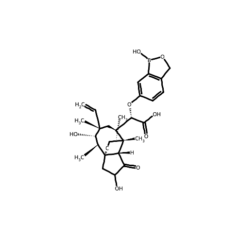 C=C[C@]1(C)C[C@@H]([C@H](Oc2ccc3c(c2)B(O)OC3)C(=O)O)[C@@]2(C)[C@H](C)CC[C@]3(CC(O)C(=O)[C@H]32)[C@@H](C)[C@@H]1O